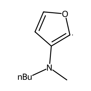 CCCCN(C)c1[c]occ1